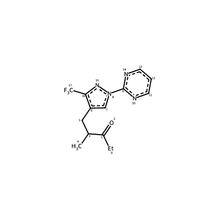 CCC(=O)C(C)Cc1cn(-c2ncccn2)nc1C(F)(F)F